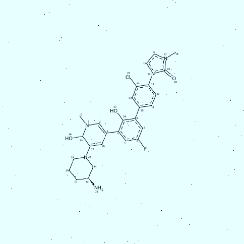 CN1C=C(c2cc(F)cc(-c3ccc(-n4ccn(C)c4=O)c(Cl)c3)c2O)C=C(N2CCC[C@H](N)C2)C1O